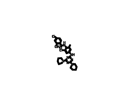 Cc1cc(Nc2nc(N3CCCCC3)nc(N3CCCCC3)n2)cc(Cl)c1NC(=O)c1ccc(Cl)cc1O